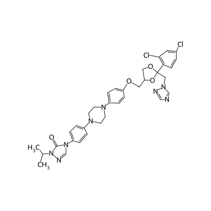 CC(C)n1ncn(-c2ccc(N3CCN(c4ccc(OCC5COC(Cn6cncn6)(c6ccc(Cl)cc6Cl)O5)cc4)CC3)cc2)c1=O